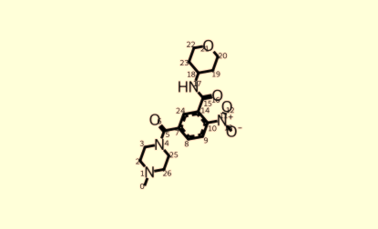 CN1CCN(C(=O)c2ccc([N+](=O)[O-])c(C(=O)NC3CCOCC3)c2)CC1